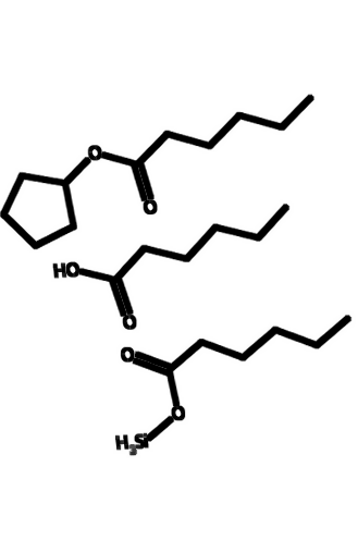 CCCCCC(=O)O.CCCCCC(=O)OC1CCCC1.CCCCCC(=O)O[SiH3]